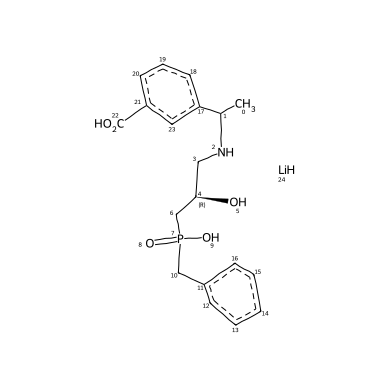 CC(NC[C@@H](O)CP(=O)(O)Cc1ccccc1)c1cccc(C(=O)O)c1.[LiH]